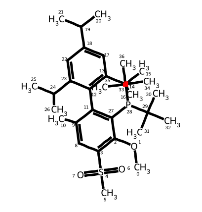 COc1c(S(C)(=O)=O)cc(C)c(-c2c(C(C)C)cc(C(C)C)cc2C(C)C)c1P(C(C)(C)C)C(C)(C)C